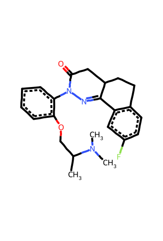 CC(COc1ccccc1N1N=C2c3cc(F)ccc3CCC2CC1=O)N(C)C